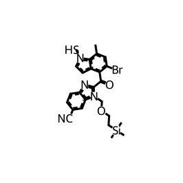 Cc1cc(Br)c(C(=O)c2nc3ccc(C#N)cc3n2COCC[Si](C)(C)C)c2ccn(S)c12